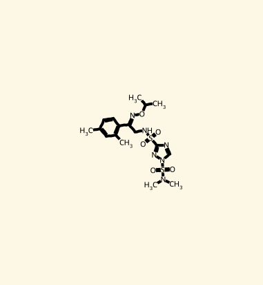 Cc1ccc(/C(CNS(=O)(=O)c2ncn(S(=O)(=O)N(C)C)n2)=N/OC(C)C)c(C)c1